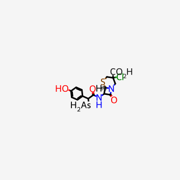 O=C(NC1C(=O)N2CC(Cl)(C(=O)O)CS[C@H]12)C([AsH2])c1ccc(O)cc1